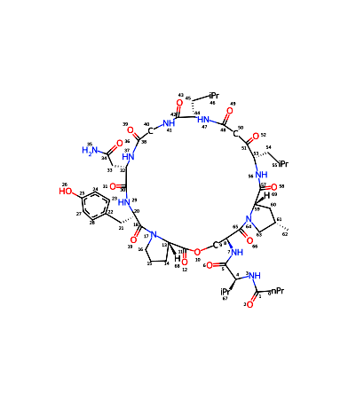 CCCC(=O)N[C@H](C(=O)N[C@H]1COC(=O)[C@@H]2CCCN2C(=O)[C@H](Cc2ccc(O)cc2)NC(=O)[C@H](CC(N)=O)NC(=O)CNC(=O)[C@H](CC(C)C)NC(=O)CC(=O)[C@H](CC(C)C)NC(=O)[C@@H]2C[C@H](C)CN2C1=O)C(C)C